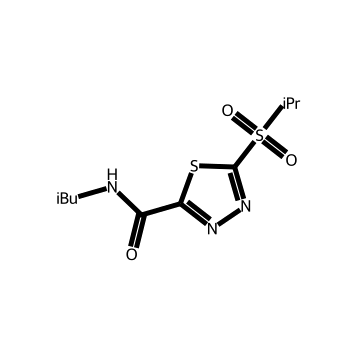 CCC(C)NC(=O)c1nnc(S(=O)(=O)C(C)C)s1